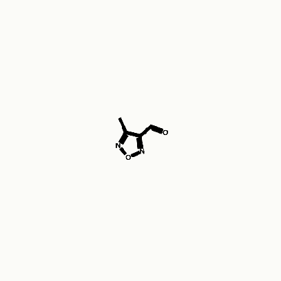 Cc1nonc1C=O